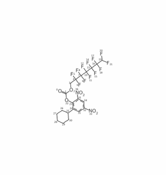 O=C(OCC(F)(F)C(F)(F)C(F)(F)C(F)(F)C(F)(F)C(F)F)Oc1c(C2CCCCC2)cc([N+](=O)[O-])cc1[N+](=O)[O-]